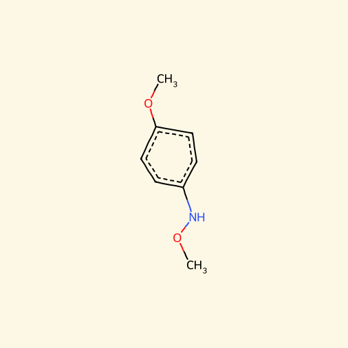 CONc1ccc(OC)cc1